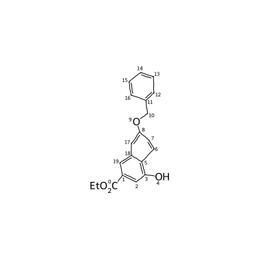 CCOC(=O)c1cc(O)c2ccc(OCc3ccccc3)cc2c1